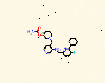 NC(=O)O[C@H]1CCCN(Cc2ccncc2NCc2ccc(F)c(C3=CCCCC3)n2)C1